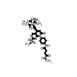 CNC(=O)CCC(=O)NC1CCC(n2c(=O)cc(C#C[Si](C(C)C)(C(C)C)C(C)C)c3cnc(S(C)(=O)=O)nc32)CC1